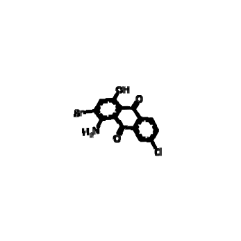 Nc1c(Br)cc(O)c2c1C(=O)c1cc(Cl)ccc1C2=O